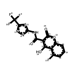 O=C(Nc1nnc(C(F)(F)F)s1)c1c(O)c2c(F)cccc2oc1=O